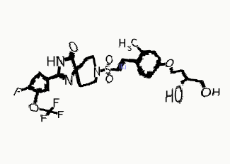 Cc1cc(OCCC(O)CO)ccc1/C=C/S(=O)(=O)N1CCC2(CC1)N=C(c1ccc(F)c(OC(F)(F)F)c1)NC2=O